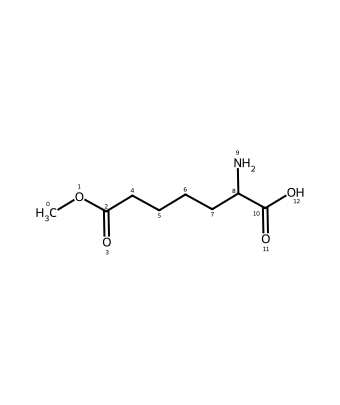 COC(=O)CCCCC(N)C(=O)O